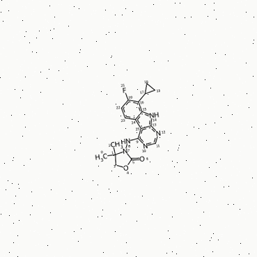 CC1(C)COC(=O)N1Nc1ncnc2[nH]c3c(C4CC4)c(F)ccc3c12